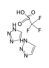 O=S(=O)(O)C(F)(F)F.c1c[nH]nn1.c1c[nH]nn1